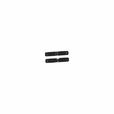 [O]=[Sn]=[O].[O]=[Ti]=[O]